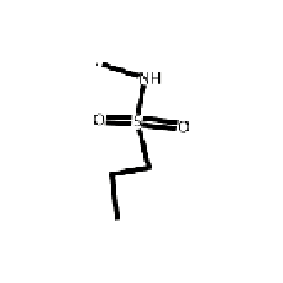 [CH2]NS(=O)(=O)CCC